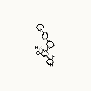 Cn1c(N2CCC[C@H](C3C=CC(N4CCCCC4)=CC3)C2)nc(-c2ccncc2F)cc1=O